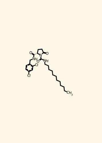 CCCCCCCCCCCCNC(=O)N1C(=O)CC[C@H]1C(=O)NCc1ccc(Cl)cc1Cl